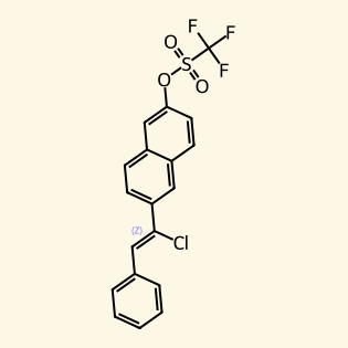 O=S(=O)(Oc1ccc2cc(/C(Cl)=C/c3ccccc3)ccc2c1)C(F)(F)F